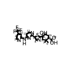 CC1(C)C[C@](O)(c2ncc(-c3nccc(Nc4cc(C(F)(F)F)ccn4)n3)s2)CC[C@H]1C(=O)O